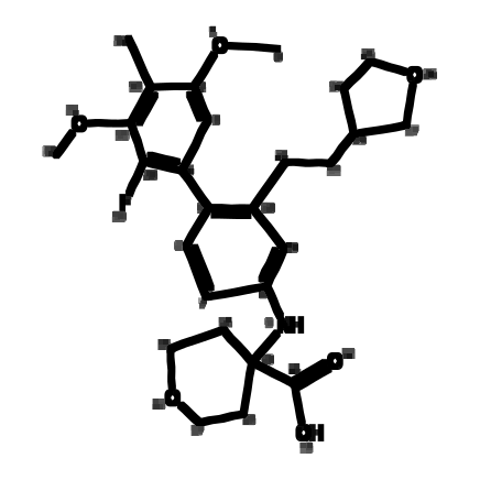 COc1cc(-c2ccc(NC3(C(=O)O)CCOCC3)cc2CCC2CCOC2)c(F)c(OC)c1C